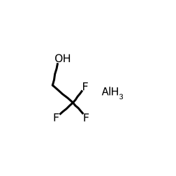 OCC(F)(F)F.[AlH3]